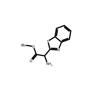 CC(C)(C)OC(=O)C(N)c1nc2ccccc2s1